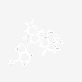 CC1(C)O[C@@H]2[C@H](O1)[C@@H](C(O)C(P(=O)(O)O)P(=O)(O)O)O[C@H]2n1cnc2c(N)ncnc21